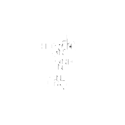 CC(C)N(C)C(=O)N1C[C@H](NC(=O)N2CCC(n3c(=O)[nH]c4ncccc43)CC2)CC[C@@H](c2cccc(F)c2F)C1